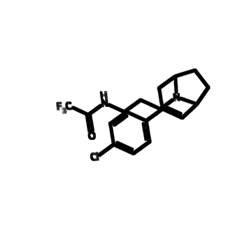 O=C(NCCCN1C2C=C(c3ccc(Cl)cc3)CC1CC2)C(F)(F)F